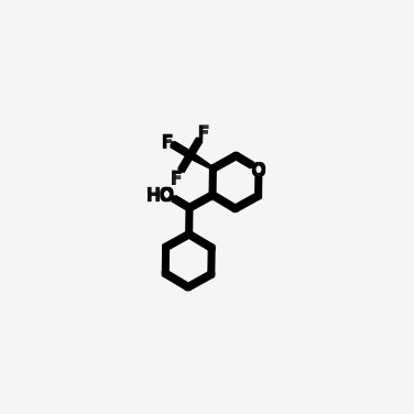 OC([C]1CCOC[C@@H]1C(F)(F)F)C1CCCCC1